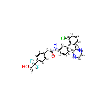 CC(O)C(F)(F)c1ccc(CC(=O)Nc2ccc(-c3nccnc3-c3cccc(Cl)c3)cc2)cc1